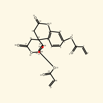 C=CC(=O)Oc1ccc2c(c1)OC(=O)CC21CC(=O)Oc2cc(OC(=O)C=C)ccc21